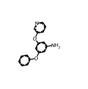 Nc1cc(Oc2ccccc2)cc(Oc2cccnc2)c1